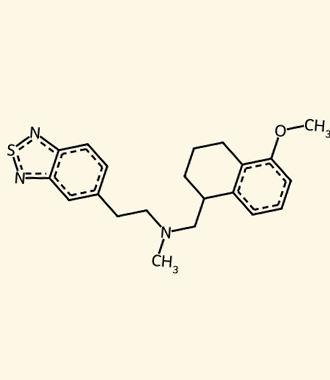 COc1cccc2c1CCCC2CN(C)CCc1ccc2nsnc2c1